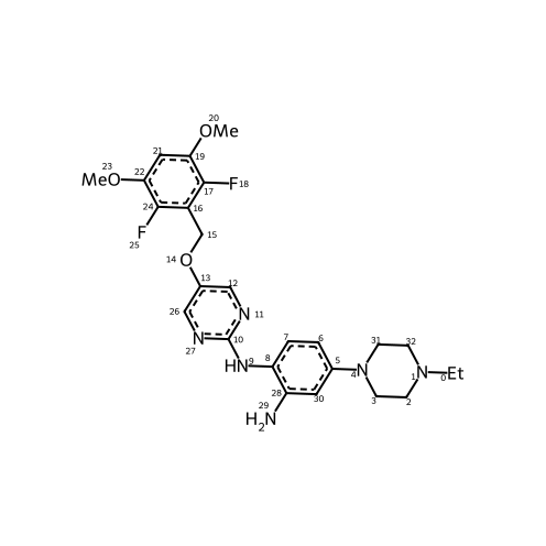 CCN1CCN(c2ccc(Nc3ncc(OCc4c(F)c(OC)cc(OC)c4F)cn3)c(N)c2)CC1